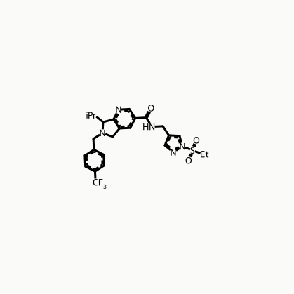 CCS(=O)(=O)n1cc(CNC(=O)c2cnc3c(c2)CN(Cc2ccc(C(F)(F)F)cc2)C3C(C)C)cn1